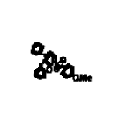 COc1ccc(S(=O)(=O)N2C=C[C@@H](c3ccccc3)[C@@H](Cc3ccccc3)C2=O)cc1